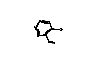 COc1nnccc1[O]